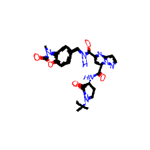 Cn1c(=O)oc2ccc(CNC(=O)c3cc(C(=O)N[C@H]4CCN(C(C)(C)C)C4=O)n4nccc4n3)cc21